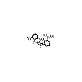 COc1cccc(B(O)Oc2c(OC)cccc2B(O)O)c1O